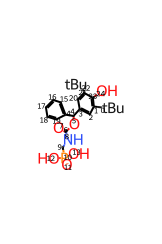 CC(C)(C)c1cc(C(OC(=O)NCP(=O)(O)O)c2ccccc2)cc(C(C)(C)C)c1O